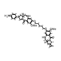 COc1cc2c(cc1OCCCCCOc1cc3c(cc1OC)C(=O)N1CC4(CC4)C[C@H]1CN3)NC[C@@H]1C[C@H](c3ccc(N)cc3)CN1C2=O